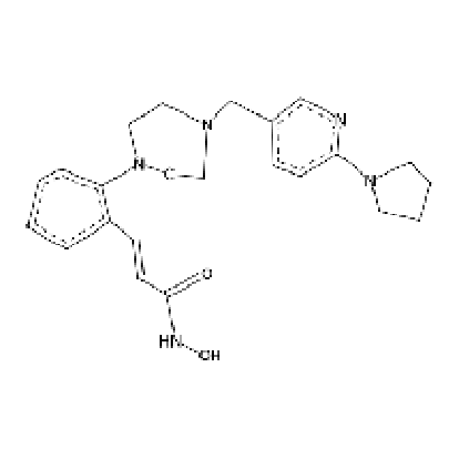 O=C(C=Cc1ccccc1N1CCN(Cc2ccc(N3CCCC3)nc2)CC1)NO